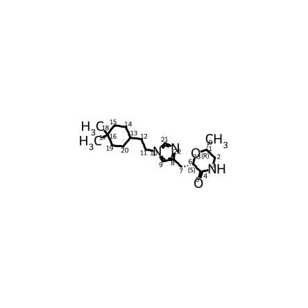 C[C@@H]1CNC(=O)[C@H](Cc2cn(CCC3CCC(C)(C)CC3)cn2)O1